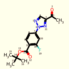 CC(=O)c1cnn(-c2ccc(C(=O)OC(C)(C)C)c(F)c2)n1